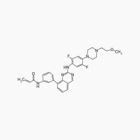 C=CC(=O)Nc1cccc(-c2cccc3cnc(Nc4cc(F)c(N5CCN(CCOC)CC5)cc4F)nc23)c1